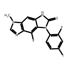 Cn1cnc2c(F)c3c(cc21)[nH]c(=O)n3-c1ccc(I)cc1F